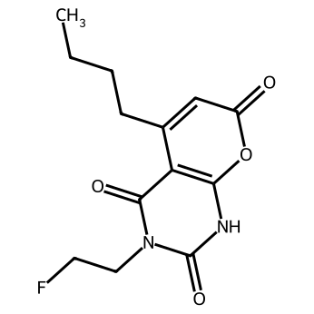 CCCCc1cc(=O)oc2[nH]c(=O)n(CCF)c(=O)c12